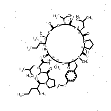 CCCC(N)C(=O)N1CCCC1C(=O)N(C)[C@H](CC(C)C)C(=O)N[C@@H]1C(=O)N[C@H]([C@@H](C)CC)[C@@H](O)CC(=O)O[C@@H](C(C)C)C(=O)N[C@@H](CC(C)C)C(=O)N2CCC[C@H]2C(=O)N(C)[C@@H](Cc2ccc(OC)cc2)C(=O)O[C@@H]1C